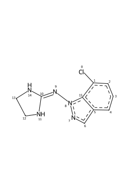 Clc1cccc2cnn(N=C3NCCN3)c12